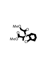 COCC(=O)N(c1ccccc1Cl)C(C)C(=O)OC